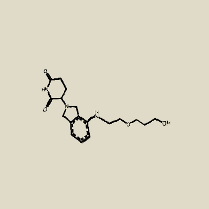 O=C1CCC(N2Cc3cccc(NCCOCCCO)c3C2)C(=O)N1